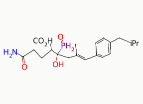 C/C(=C\c1ccc(CC(C)C)cc1)CC(O)([PH2]=O)C(CCC(N)=O)C(=O)O